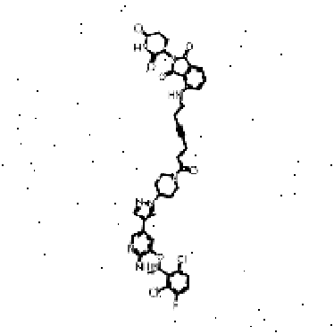 C[C@@H](Oc1cc(-c2cnn(C3CCN(C(=O)CCC#CCCNc4cccc5c4C(=O)N(C4CCC(=O)NC4=O)C5=O)CC3)c2)cnc1N)c1c(Cl)ccc(F)c1Cl